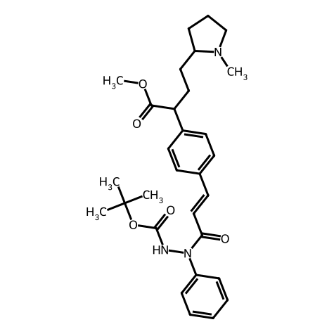 COC(=O)C(CCC1CCCN1C)c1ccc(C=CC(=O)N(NC(=O)OC(C)(C)C)c2ccccc2)cc1